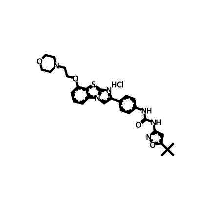 CC(C)(C)c1cc(NC(=O)Nc2ccc(-c3cn4c(n3)sc3c(OCCN5CCOCC5)cccc34)cc2)no1.Cl